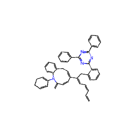 C=C\C=C/C=C(Cc1ccccc1-c1nc(-c2ccccc2)nc(-c2ccccc2)n1)/C1=C/Cc2ccccc2N(C2=CCCC=C2)C(=C)/C=C\1